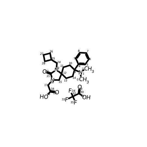 CN(C)C1(c2ccccc2)CCC2(CC1)CN(CC(=O)O)C(=O)N2CC1CCC1.O=C(O)C(F)(F)F